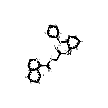 O=C(CNC(=O)c1nccc2ccccc12)Nc1ccccc1Oc1ccccc1